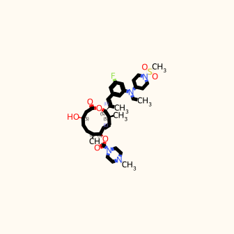 CCN(c1cc(F)cc(/C=C(\C)[C@H]2OC(=O)C[C@@H](O)CC[C@@H](C)[C@H](OC(=O)N3CCN(C)CC3)/C=C/[C@@H]2C)c1)C1CCN(S(C)(=O)=O)CC1